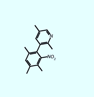 Cc1cnc(C)c(-c2c(C)cc(C)c(C)c2[N+](=O)[O-])c1